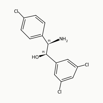 N[C@H](c1ccc(Cl)cc1)[C@H](O)c1cc(Cl)cc(Cl)c1